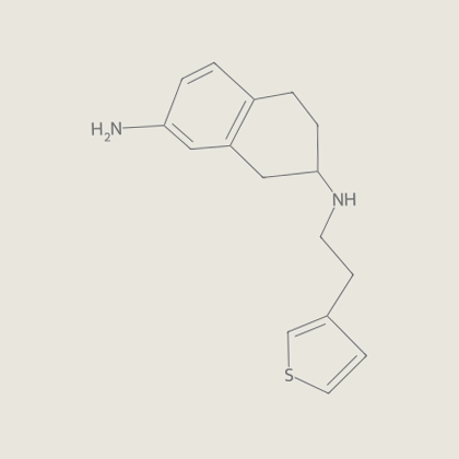 Nc1ccc2c(c1)CC(NCCc1ccsc1)CC2